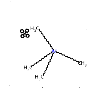 CCCCCCCCCCCCCCCCCC[N+](CCCCCCCCCCCCCCCCCC)(CCCCCCCCCCCCCCCCCC)CCCCCCCCCCCCCCCCCC.c1ccc([B-](c2ccccc2)(c2ccccc2)c2ccccc2)cc1